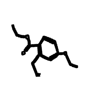 CCOC(=O)c1ccc(OCC)cc1CBr